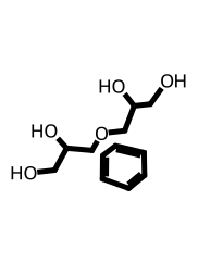 OCC(O)COCC(O)CO.c1ccccc1